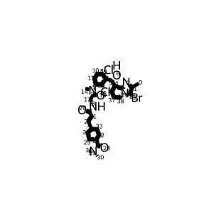 Cc1nc2c(C(O)c3c(Cl)ccc(N(C)C(=O)CNC(=O)C=Cc4ccc(C(=O)N(C)C)cc4)c3Cl)cccn2c1Br